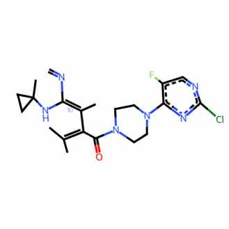 C=N/C(NC1(C)CC1)=C(\C)C(C(=O)N1CCN(c2nc(Cl)ncc2F)CC1)=C(C)C